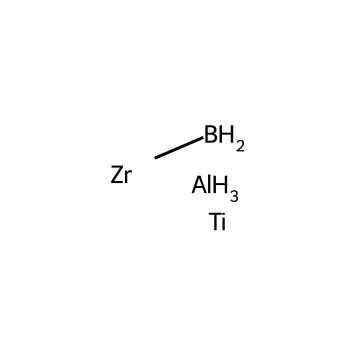 BC.[AlH3].[Ti].[Zr]